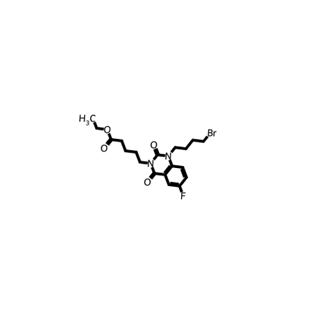 CCOC(=O)CCCCn1c(=O)c2cc(F)ccc2n(CCCCBr)c1=O